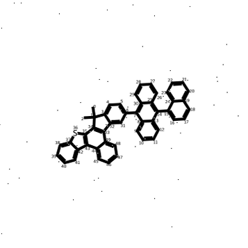 CC1(C)c2ccc(-c3c4ccccc4c(-c4cccc5ccccc45)c4ccccc34)cc2-c2c1c1sc3ccccc3c1c1ccccc21